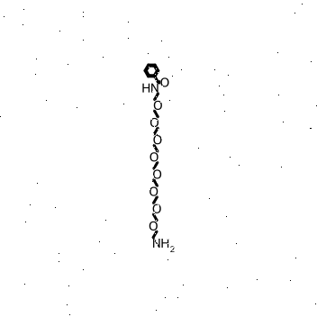 NCCOCCOCCOCCOCCOCCOCCOCCOCCNC(=O)c1ccccc1